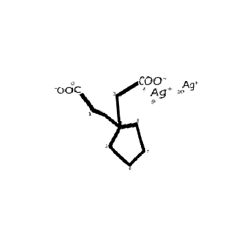 O=C([O-])CC1(CC(=O)[O-])CCCC1.[Ag+].[Ag+]